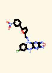 O=[N+]([O-])c1cccc(-c2ccc(C=NNc3nc4nonc4nc3Nc3cccc(Cl)c3)o2)c1